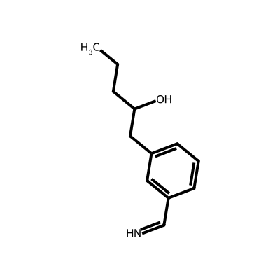 CCCC(O)Cc1cccc(C=N)c1